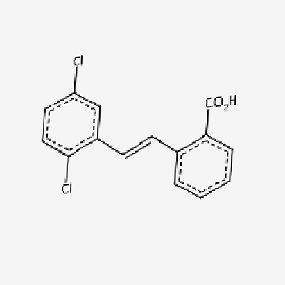 O=C(O)c1ccccc1C=Cc1cc(Cl)ccc1Cl